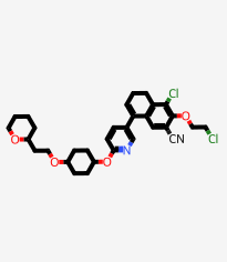 N#Cc1cc2c(c(Cl)c1OCCCl)CCC=C2c1ccc(OC2CCC(OCCC3CCCCO3)CC2)nc1